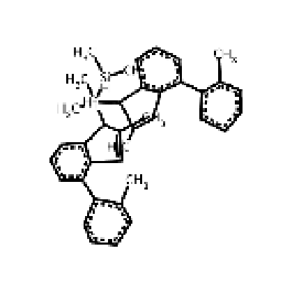 CC1=Cc2c(-c3ccccc3C)cccc2[CH]1[Hf]([CH3])([CH3])([CH]1C(C)=Cc2c(-c3ccccc3C)cccc21)[SiH](C)C